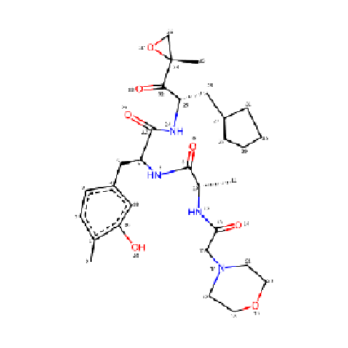 Cc1ccc(C[C@H](NC(=O)[C@H](C)NC(=O)CN2CCOCC2)C(=O)N[C@@H](CC2CCCC2)C(=O)[C@@]2(C)CO2)cc1O